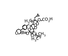 CN(C(=O)OC(C)(C)C)[C@@H](CCC(C)(C)F)C(=O)O[C@H](Cc1ccc(C2CCOCC2)cc1)C(=O)N(C)[C@@H](CC1CC1)C(=O)OCC(=O)O